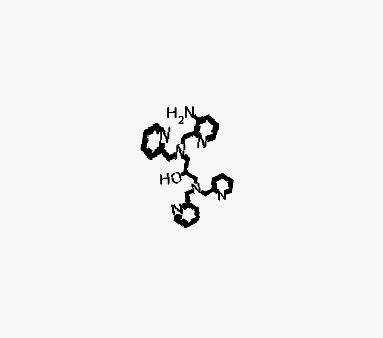 Nc1cccnc1CN(Cc1ccccn1)CC(O)CN(Cc1ccccn1)Cc1ccccn1